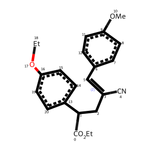 CCOC(=O)C(C/C(C#N)=C/c1ccc(OC)cc1)c1ccc(OCC)cc1